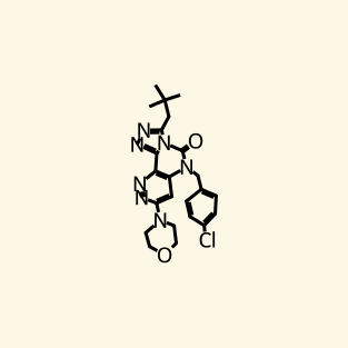 CC(C)(C)Cc1nnc2c3nnc(N4CCOCC4)cc3n(Cc3ccc(Cl)cc3)c(=O)n12